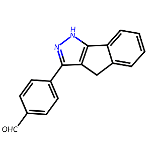 O=Cc1ccc(-c2n[nH]c3c2Cc2ccccc2-3)cc1